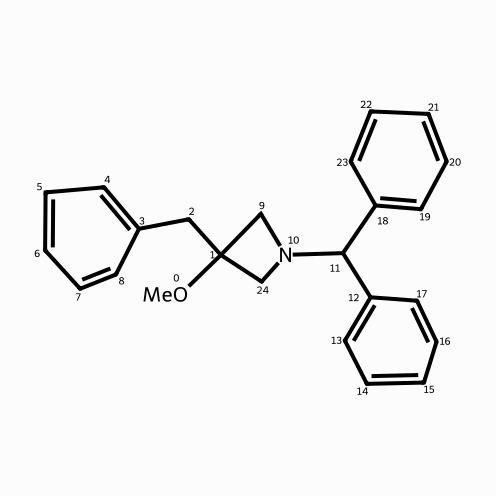 COC1(Cc2ccccc2)CN(C(c2ccccc2)c2ccccc2)C1